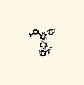 CC(C)c1cccc(-c2cc(N3CCN(c4ncccc4C(F)(F)F)C[C@H]3C)nc(N3CCOCC3)n2)c1